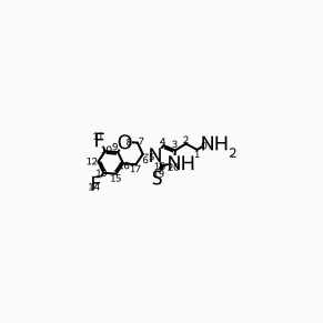 NCCc1cn([C@H]2COc3c(F)cc(F)cc3C2)c(=S)[nH]1